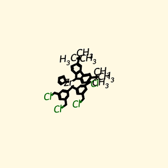 CC(C)(C)c1ccc2c(c1)-c1cc(C(C)(C)C)ccc1[CH]2[Zr](=[C](c1cc(CCl)cc(CCl)c1)c1cc(CCl)cc(CCl)c1)[CH]1C=CC=C1